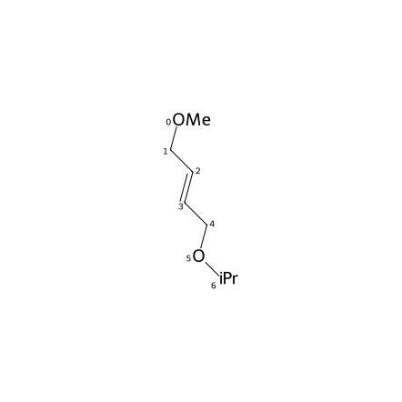 COC/C=C/COC(C)C